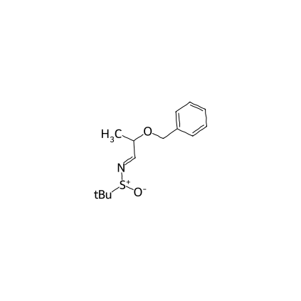 CC(C=N[S+]([O-])C(C)(C)C)OCc1ccccc1